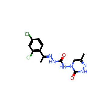 CC1=NNC(=O)N(NC(=O)N/N=C(\C)c2ccc(Cl)cc2Cl)C1